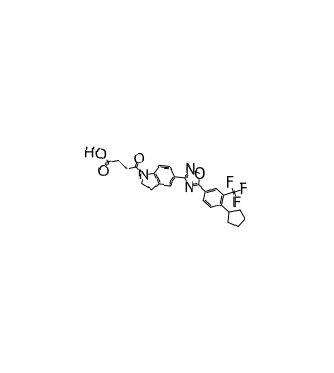 O=C(O)CCC(=O)N1CCc2cc(-c3noc(-c4ccc(C5CCCC5)c(C(F)(F)F)c4)n3)ccc21